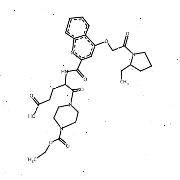 CCOC(=O)N1CCN(C(=O)C(CCC(=O)O)NC(=O)c2cc(OCC(=O)N3CCCC3CC)c3ccccc3n2)CC1